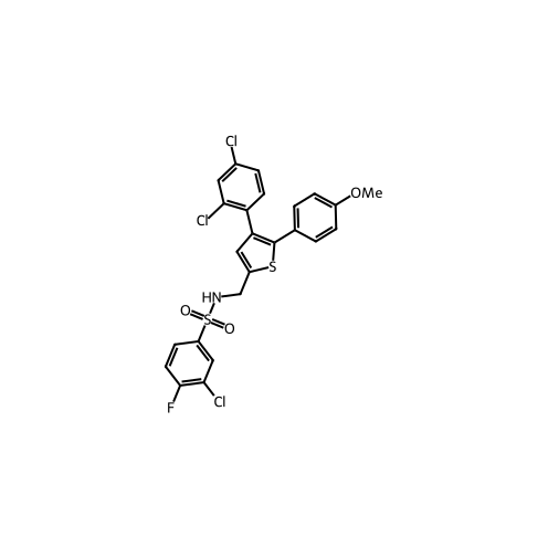 COc1ccc(-c2sc(CNS(=O)(=O)c3ccc(F)c(Cl)c3)cc2-c2ccc(Cl)cc2Cl)cc1